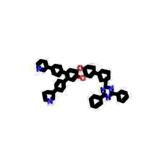 c1ccc(-c2nc(-c3ccccc3)nc(-c3cccc(-c4ccc5c(c4)Oc4cc(-c6ccc(-c7cccnc7)cc6)c(-c6ccc(-c7cccnc7)cc6)cc4O5)c3)n2)cc1